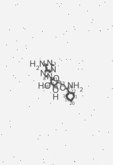 Nc1ncnc2c1ncn2[C@@H]1O[C@H](COC(N)c2ccccc2)[C@@H](O)[C@H]1O